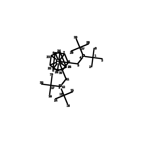 CC(C)(C)P(C[C]12[CH]3[CH]4[CH]5[C]1(CP(C(C)(C)C)C(C)(C)C)[Fe]43521678[CH]2[CH]1[CH]6[CH]7[CH]28)C(C)(C)C